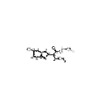 CCOC(=O)C(CC)c1cn2cc(Cl)ccc2n1